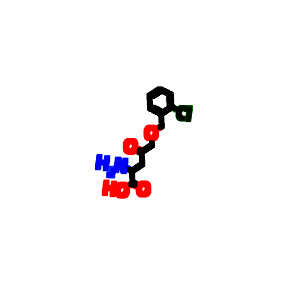 N[C@@H](CC(=O)COCc1ccccc1Cl)C(=O)O